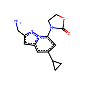 NCc1cc2cc(C3CC3)cc(N3CCOC3=O)n2n1